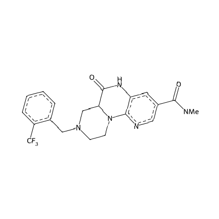 CNC(=O)c1cnc2c(c1)NC(=O)C1CN(Cc3ccccc3C(F)(F)F)CCN21